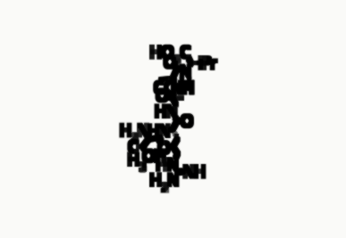 CC(C)[C@H](NC(=O)[C@H](CC(=O)O)NC(=O)CNC(=O)[C@H](CCCNC(=N)N)NC(=O)[C@@H](N)[C@@H](C)O)C(=O)O